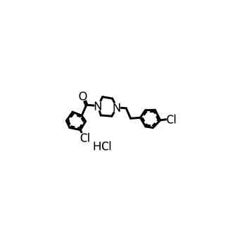 Cl.O=C(c1cccc(Cl)c1)N1CCN(CCc2ccc(Cl)cc2)CC1